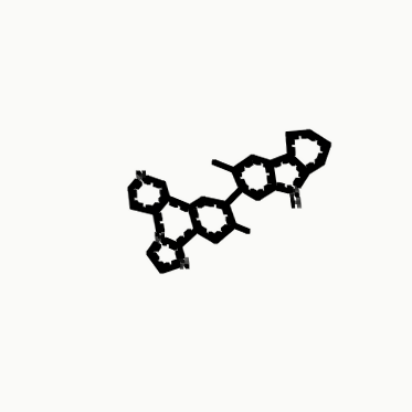 Cc1cc2c(cc1-c1cc3c4cnccc4n4ccnc4c3cc1C)[nH]c1ccccc12